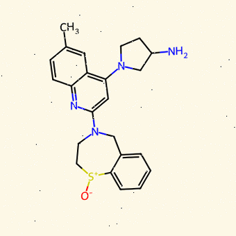 Cc1ccc2nc(N3CC[S+]([O-])c4ccccc4C3)cc(N3CCC(N)C3)c2c1